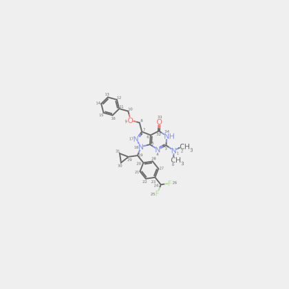 CN(C)c1nc2c(c(COCc3ccccc3)nn2C(c2ccc(C(F)F)cc2)C2CC2)c(=O)[nH]1